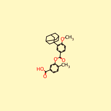 COc1ccc(C(=O)Oc2cc(C(=O)O)ccc2C)cc1C12CC3CC(CC(C3)C1)C2